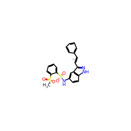 CS(=O)(=O)c1ccccc1S(=O)(=O)Nc1ccc2[nH]nc(/C=C/c3ccccc3)c2c1